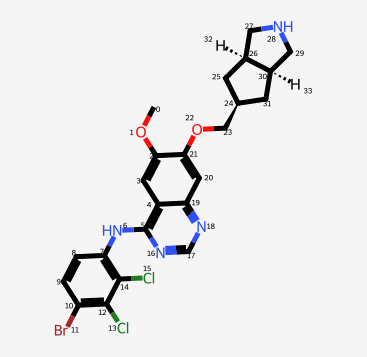 COc1cc2c(Nc3ccc(Br)c(Cl)c3Cl)ncnc2cc1OC[C@H]1C[C@H]2CNC[C@H]2C1